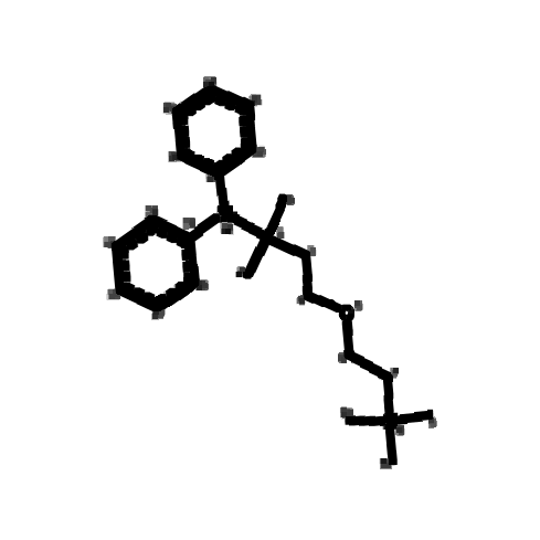 CC(C)(CCOCC[Si](C)(C)C)[Si](c1ccccc1)c1ccccc1